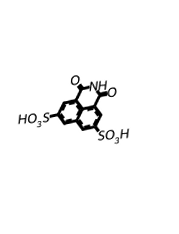 O=C1NC(=O)c2cc(S(=O)(=O)O)cc3cc(S(=O)(=O)O)cc1c23